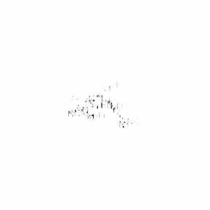 CCCC(=O)OCN(C(=O)[C@@H](NC(=O)[C@H]1CCCCN1C)C(C)CC)[C@@H](C[C@@H](OC(C)=O)c1nc(C(=O)N[C@@H](Cc2ccc(O)cc2)C[C@H](C)C(=O)NNC(=O)OCCSSc2ncccc2[N+](=O)[O-])cs1)C(C)C